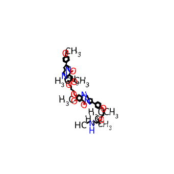 C#CCNCCC(C)(C)OCCC(C)(C)Oc1ccc(C2=CN3C(=O)c4cc(OC)c(OCCCOC(C)/C(=C\C5=C(C)N=CC6CC(c7ccc(OC)cc7)=CN6C5=O)OC)cc4N=CC3C2)cc1